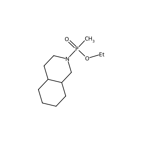 CCOP(C)(=O)N1CCC2CCCCC2C1